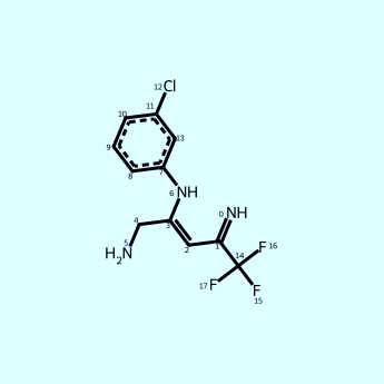 N=C(/C=C(/CN)Nc1cccc(Cl)c1)C(F)(F)F